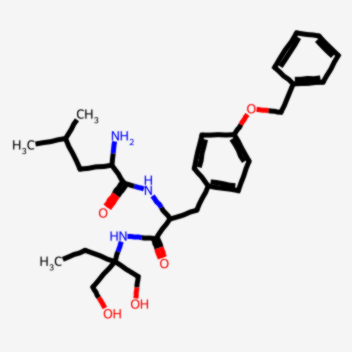 CCC(CO)(CO)NC(=O)C(Cc1ccc(OCc2ccccc2)cc1)NC(=O)C(N)CC(C)C